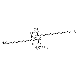 CCCCCCCCCCCCCCCC(OC(CCCCCCCCCCCCCCC)C(C)CC(C)C)C(C)CC(C)C